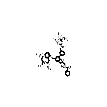 CCCCCC.CCOC(=O)Cc1ccccc1OCc1cc(-c2cccc(CNC(=O)OC(C)(C)C)c2)c2oc(CNC(=O)c3ccccc3)cc2c1